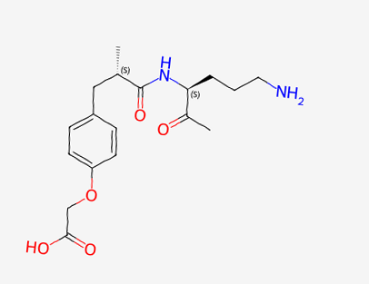 CC(=O)[C@H](CCCN)NC(=O)[C@@H](C)Cc1ccc(OCC(=O)O)cc1